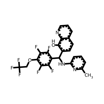 Cc1cccc(NC(c2ccc3cccnc3c2O)c2c(F)c(F)c(OCC(F)(F)F)c(F)c2F)n1